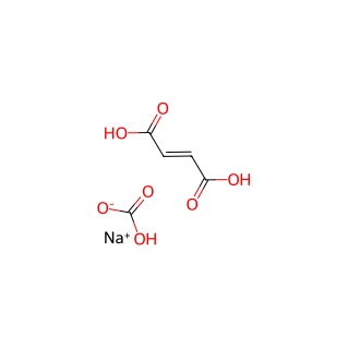 O=C(O)C=CC(=O)O.O=C([O-])O.[Na+]